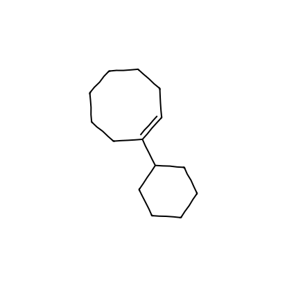 C1=C(C2CCCCC2)CCCCCC1